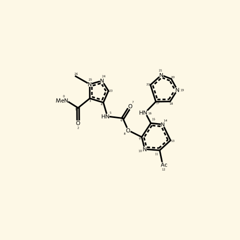 CNC(=O)c1c(NC(=O)Oc2nc(C(C)=O)cnc2Nc2cncnc2)cnn1C